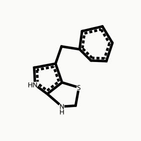 c1ccc(Cc2c[nH]c3c2SCN3)cc1